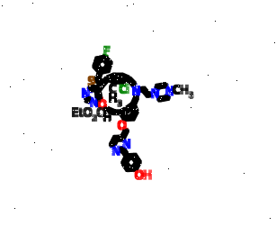 CCOC(=O)[C@H]1Cc2cc(ccc2OCc2ccnc(-c3ccc(O)cc3)n2)CN(CCN2CCN(C)CC2)Cc2ccc(c(C)c2Cl)-c2c(-c3ccc(F)cc3)sc3ncnc(c23)O1